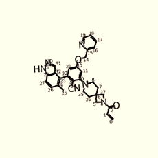 C=CC(=O)N1CC2(CCN(c3cc(OCc4ccccn4)cc(-c4c(C)ccc5[nH]ncc45)c3C#N)CC2)C1